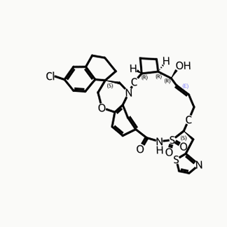 O=C1NS(=O)(=O)[C@H](Cc2nccs2)CC/C=C/[C@H](O)[C@@H]2CC[C@H]2CN2C[C@@]3(CCCc4cc(Cl)ccc43)COc3ccc1cc32